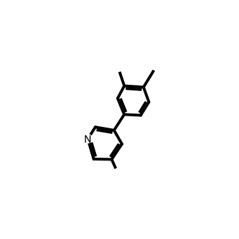 Cc1cncc(-c2ccc(C)c(C)c2)c1